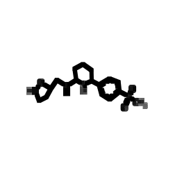 CS(=O)(=O)c1ccc(C2CCCC(NCC3CCNO3)N2)cc1